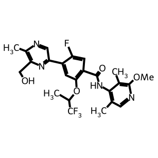 COc1ncc(C)c(NC(=O)c2cc(F)c(-c3cnc(C)c(CO)n3)cc2OC(C)C(F)(F)F)c1C